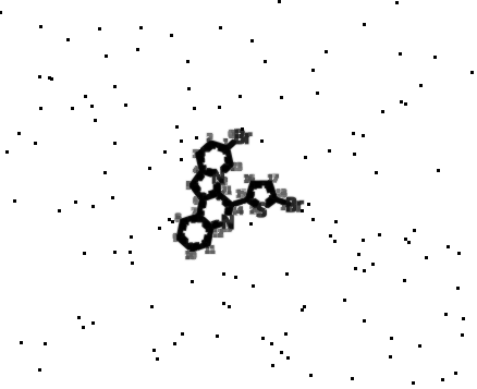 Brc1ccc2cc3c4ccccc4nc(-c4ccc(Br)s4)c3n2c1